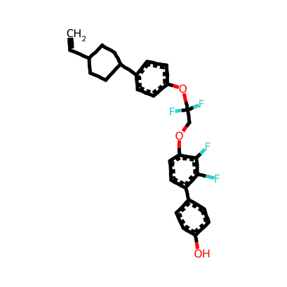 C=CC1CCC(c2ccc(OC(F)(F)COc3ccc(-c4ccc(O)cc4)c(F)c3F)cc2)CC1